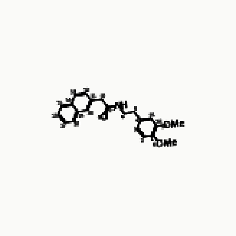 COc1ccc(CCNC(=O)Cc2ccc3ccccc3c2)cc1OC